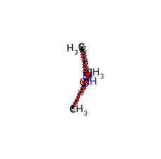 CCCCCCCCCCCCCCCCCC(=O)NCCC1CN(C)C(CCCCCCCCCCCCCCCCC)=N1